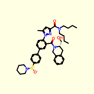 CCCCN(CCCC)C(=O)c1cc(C)n(-c2ccc(-c3ccc([S+]([O-])N4CCCCC4)cc3)cc2C(=O)N2Cc3ccccc3C[C@H]2CO)n1